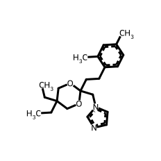 CCC1(CC)COC(CCc2ccc(C)cc2C)(Cn2ccnc2)OC1